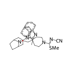 CSC(=NC#N)N1CCC(CCN2C3CCC2CC(n2c(C)nc4ccccc42)C3)(c2ccccc2)CC1